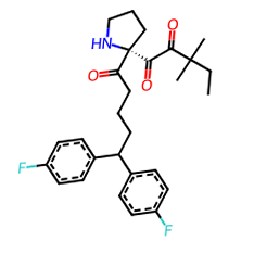 CCC(C)(C)C(=O)C(=O)[C@@]1(C(=O)CCCC(c2ccc(F)cc2)c2ccc(F)cc2)CCCN1